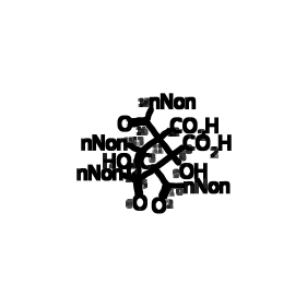 CCCCCCCCCC(=O)C(C(=O)O)(C(=O)CCCCCCCCC)C(O)(C(=O)O)C(C(=O)O)(C(=O)CCCCCCCCC)C(=O)CCCCCCCCC